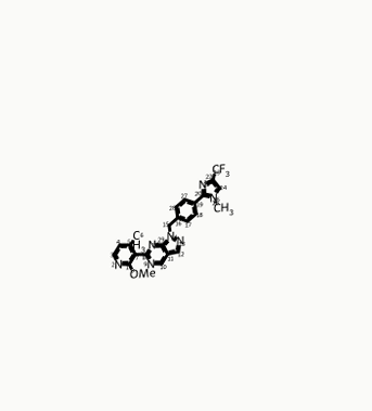 COc1nccc(C)c1-c1ncc2cnn(Cc3ccc(-c4nc(C(F)(F)F)cn4C)cc3)c2n1